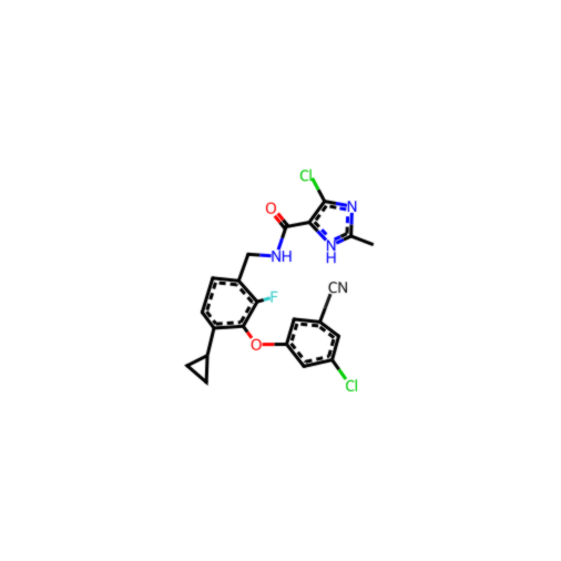 Cc1nc(Cl)c(C(=O)NCc2ccc(C3CC3)c(Oc3cc(Cl)cc(C#N)c3)c2F)[nH]1